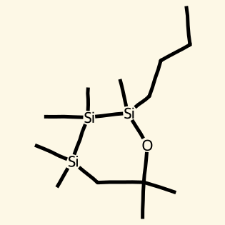 CCCC[Si]1(C)OC(C)(C)C[Si](C)(C)[Si]1(C)C